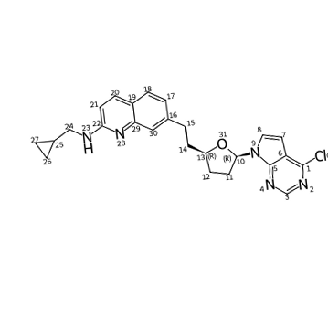 Clc1ncnc2c1ccn2[C@H]1CC[C@@H](CCc2ccc3ccc(NCC4CC4)nc3c2)O1